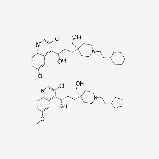 COc1ccc2ncc(Cl)c(C(O)CCC3(CO)CCN(CCC4CCCC4)CC3)c2c1.COc1ccc2ncc(Cl)c(C(O)CCC3(CO)CCN(CCC4CCCCC4)CC3)c2c1